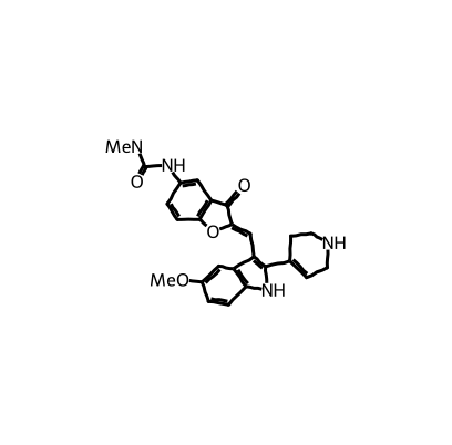 CNC(=O)Nc1ccc2c(c1)C(=O)/C(=C/c1c(C3=CCNCC3)[nH]c3ccc(OC)cc13)O2